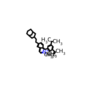 Cc1c(-c2c3ccc(CCC4CC5CCCC(C5)C4)cc3cc[n+]2C)cc(C(C)C)cc1C(C)C